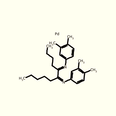 CCCCCC(=Nc1ccc(C)c(C)c1)C(CCCC)=Nc1ccc(C)c(C)c1.[Pd]